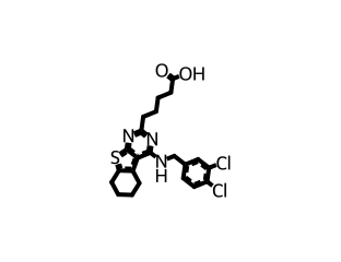 O=C(O)CCCCc1nc(NCc2ccc(Cl)c(Cl)c2)c2c3c(sc2n1)CCCC3